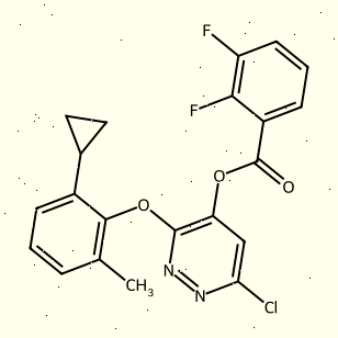 Cc1cccc(C2CC2)c1Oc1nnc(Cl)cc1OC(=O)c1cccc(F)c1F